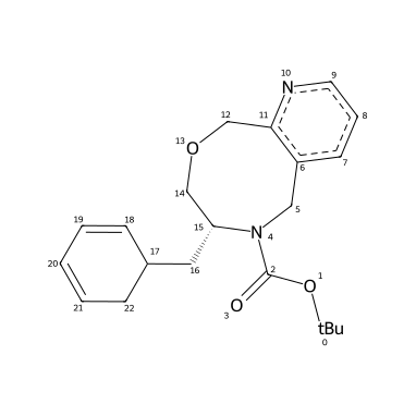 CC(C)(C)OC(=O)N1Cc2cccnc2COC[C@H]1CC1C=CC=CC1